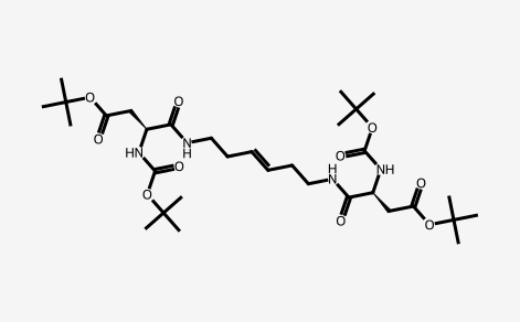 CC(C)(C)OC(=O)C[C@H](NC(=O)OC(C)(C)C)C(=O)NCCC=CCCNC(=O)[C@H](CC(=O)OC(C)(C)C)NC(=O)OC(C)(C)C